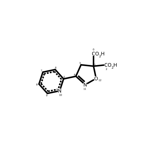 O=C(O)C1(C(=O)O)CC(c2ccccn2)=NO1